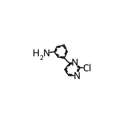 Nc1cccc(-c2ccnc(Cl)n2)c1